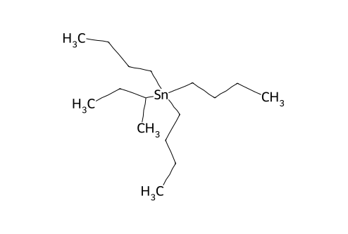 CCC[CH2][Sn]([CH2]CCC)([CH2]CCC)[CH](C)CC